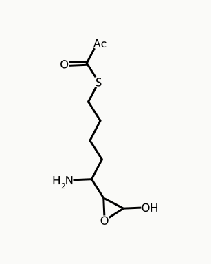 CC(=O)C(=O)SCCCCC(N)C1OC1O